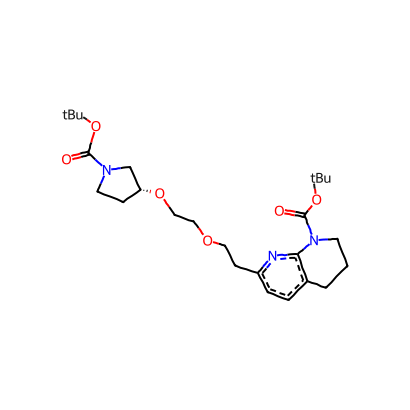 CC(C)(C)OC(=O)N1CC[C@@H](OCCOCCc2ccc3c(n2)N(C(=O)OC(C)(C)C)CCC3)C1